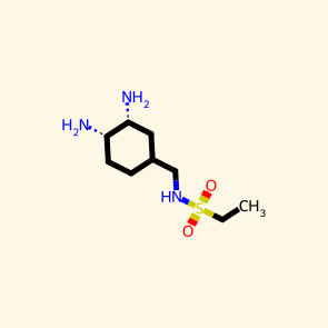 CCS(=O)(=O)NCC1CC[C@H](N)[C@H](N)C1